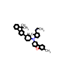 C/C=C\c1cccc(N(C2C=CC=C(c3ccc4c(c3)C(C)(C)c3ccccc3-4)C=C2)C2C=c3c(oc4cc(C)ccc34)=CC2)c1C